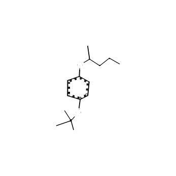 CCCC(C)Oc1ccc(OC(C)(C)C)cc1